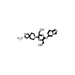 C[C@H]1CC2(CCN(c3nc(C=N)c(Nc4ccc5cncn5c4)nc3CO)CC2)CO1